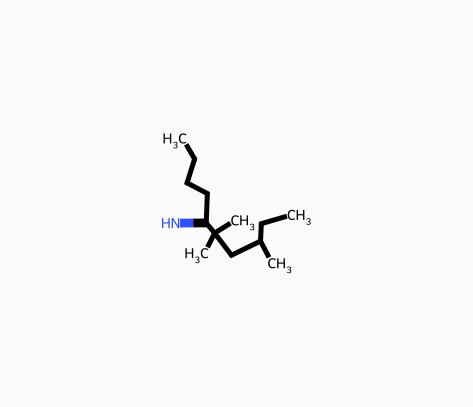 CCCCC(=N)C(C)(C)CC(C)CC